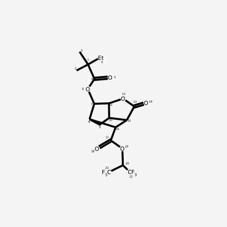 CCC(C)(C)C(=O)OC1C2CC3C1OC(=O)C3C2C(=O)OC(C(F)(F)F)C(F)(F)F